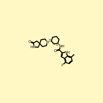 Cc1ccc(F)c2cc(C(=O)N[C@@H]3CCC[C@@H](N4CCC5(CC4)CNC(=O)C5)C3)[nH]c12